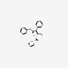 CCc1c(-c2ccccc2)c(Cc2ccccc2)nn1C(=O)n1cccn1